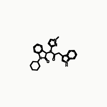 Cn1ccc(N(C(=O)Cc2c[nH]c3ccccc23)C2C(=O)N(C3CCCCC3)c3ccccc32)n1